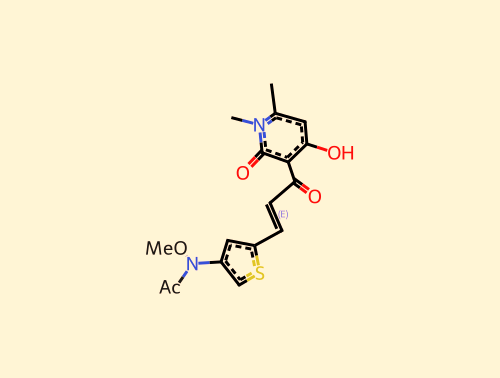 CON(C(C)=O)c1csc(/C=C/C(=O)c2c(O)cc(C)n(C)c2=O)c1